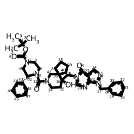 CC(C)(C)OC(=O)N1CCN(C(=O)N2CCC(O)(Cn3cnc4c(cnn4Cc4ccccc4)c3=O)C3(CCCC3)C2)[C@H](c2ccccc2)C1